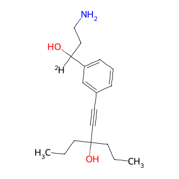 [2H]C(O)(CCN)c1cccc(C#CC(O)(CCC)CCC)c1